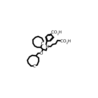 O=C(O)CCCCN(Cc1ccc(C(=O)O)cc1)CC(OCC1CCCCCCCCC1)C1CCCCCCCCC1